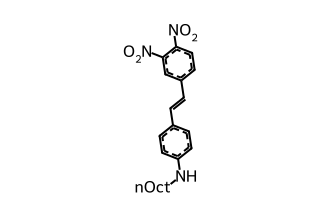 CCCCCCCCNc1ccc(C=Cc2ccc([N+](=O)[O-])c([N+](=O)[O-])c2)cc1